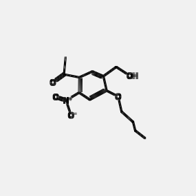 CCCCOc1cc([N+](=O)[O-])c(C(C)=O)cc1CO